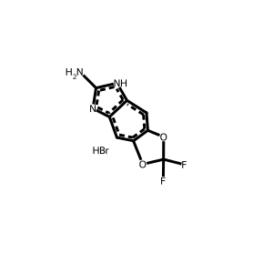 Br.Nc1nc2cc3c(cc2[nH]1)OC(F)(F)O3